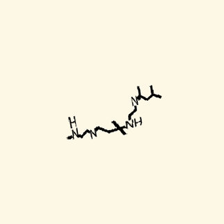 CNCCN=CCC(C)(C)NCCN=C(C)CC(C)C